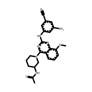 COc1cccc2c(N3CCCC(NC(C)=O)C3)nc(Nc3cc(N)cc(C#N)c3)nc12